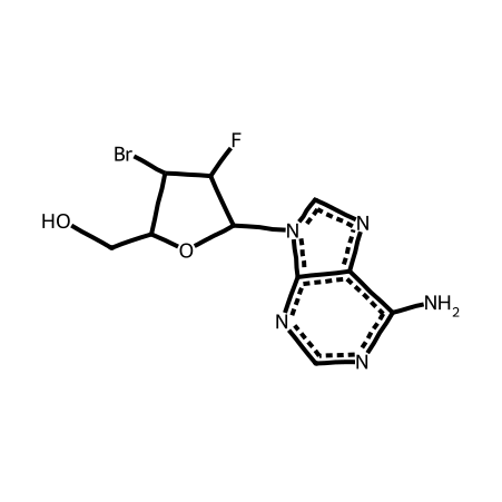 Nc1ncnc2c1ncn2C1OC(CO)C(Br)C1F